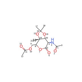 CC(=O)N[C@H]1C(=O)OC(COC(C)=O)[C@@H]2OC(C)(C)OC21